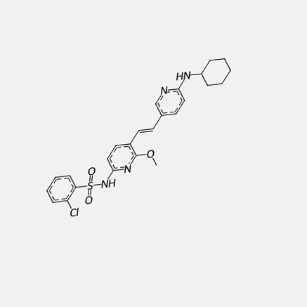 COc1nc(NS(=O)(=O)c2ccccc2Cl)ccc1/C=C/c1ccc(NC2CCCCC2)nc1